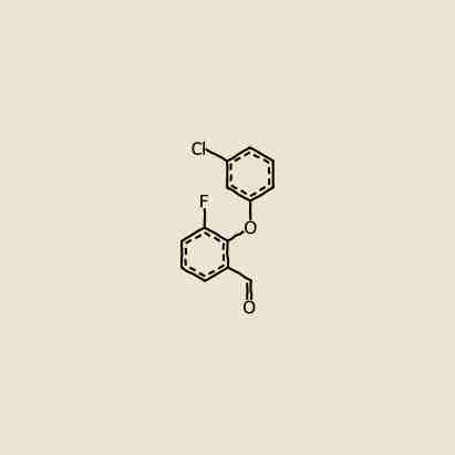 O=Cc1cccc(F)c1Oc1cccc(Cl)c1